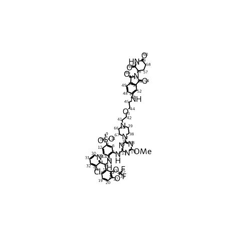 COc1nc(Nc2cc(S(C)(=O)=O)ccc2N[C@@H](c2cccc3c2OC(F)(F)O3)c2ncccc2Cl)nc(N2CCN(CCOCCNc3ccc4c(c3)C(=O)N(C3CCC(=O)NC3=O)C4=O)CC2)n1